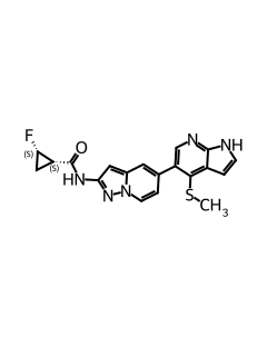 CSc1c(-c2ccn3nc(NC(=O)[C@@H]4C[C@@H]4F)cc3c2)cnc2[nH]ccc12